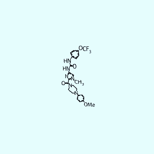 COc1ccc(N2CCN(C(=O)c3nc(NC(=O)Nc4ccc(OC(F)(F)F)cc4)cn3C)CC2)cc1